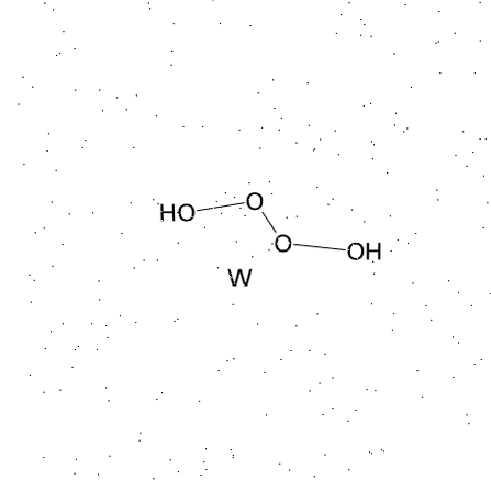 OOOO.[W]